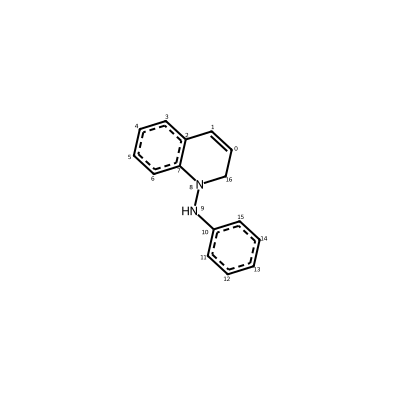 C1=Cc2ccccc2N(Nc2ccccc2)C1